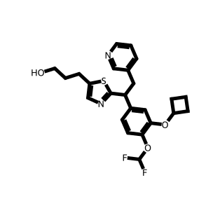 OCCCc1cnc(C(Cc2cccnc2)c2ccc(OC(F)F)c(OC3CCC3)c2)s1